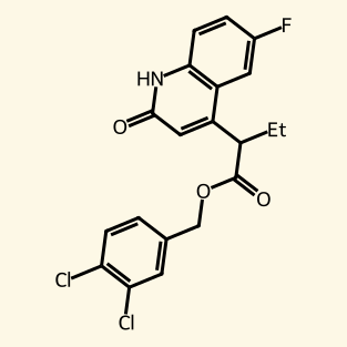 CCC(C(=O)OCc1ccc(Cl)c(Cl)c1)c1cc(=O)[nH]c2ccc(F)cc12